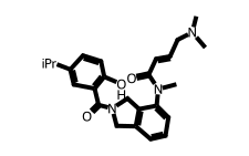 CC(C)c1ccc(O)c(C(=O)N2Cc3cccc(N(C)C(=O)/C=C/CN(C)C)c3C2)c1